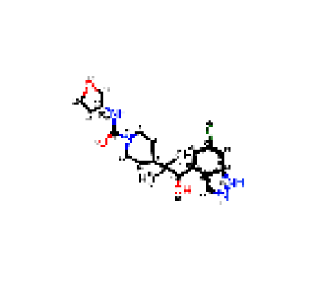 CC(C)(C1CCN(C(=O)N[C@H]2CCOC2)CC1)C(O)c1cc(Cl)cc2[nH]ncc12